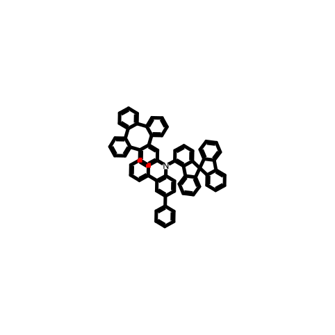 c1ccc(-c2ccc(N(c3ccc4c(c3)-c3ccccc3-c3ccccc3-c3ccccc3-4)c3cccc4c3-c3ccccc3C43c4ccccc4-c4ccccc43)c(-c3ccccc3)c2)cc1